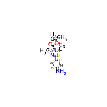 CCS/C(=N\C(C)NC(=O)OC(C)C)C1CCC(N)CC1